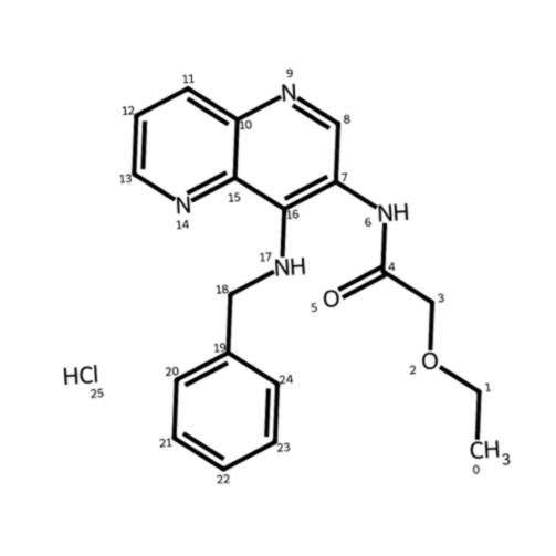 CCOCC(=O)Nc1cnc2cccnc2c1NCc1ccccc1.Cl